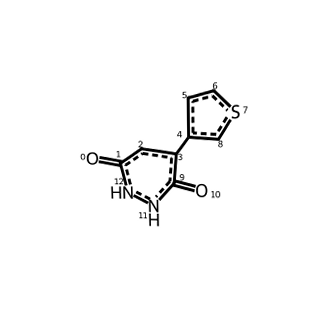 O=c1cc(-c2ccsc2)c(=O)[nH][nH]1